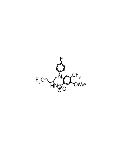 COc1cc2c(cc1C(F)(F)F)N(c1ccc(F)cc1)CC(CCC(F)(F)F)NS2(=O)=O